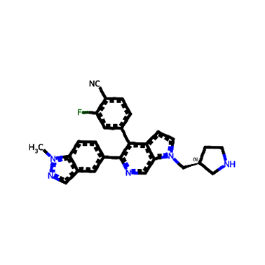 Cn1ncc2cc(-c3ncc4c(ccn4C[C@H]4CCNC4)c3-c3ccc(C#N)c(F)c3)ccc21